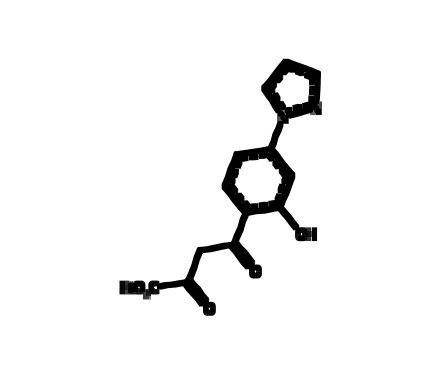 CCOC(=O)C(=O)CC(=O)c1ccc(-n2cccn2)cc1O